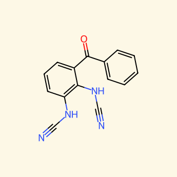 N#CNc1cccc(C(=O)c2ccccc2)c1NC#N